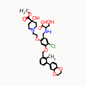 COC(=O)C1(O)CCN(CCOc2cc(OCc3cccc(-c4ccc5c(c4)OCCO5)c3C)c(Cl)cc2CNC(CO)C(=O)O)CC1